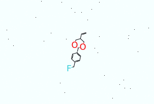 C=CC1COC(c2ccc(CF)cc2)OC1